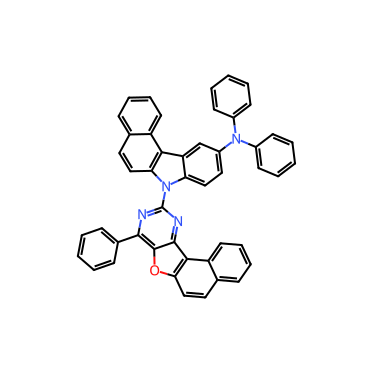 c1ccc(-c2nc(-n3c4ccc(N(c5ccccc5)c5ccccc5)cc4c4c5ccccc5ccc43)nc3c2oc2ccc4ccccc4c23)cc1